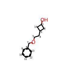 OC1CC(CCOCc2ccccc2)C1